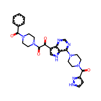 O=C(C(=O)N1CCN(C(=O)c2ccccc2)CC1)c1c[nH]c2c(N3CCN(C(=O)c4cc[nH]n4)CC3)ncnc12